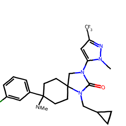 CNC1(c2cccc(F)c2)CCC2(CC1)CN(c1cc(C(F)(F)F)nn1C)C(=O)N2CC1CC1